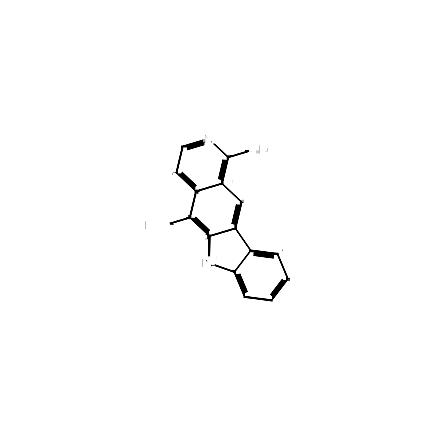 CCCCc1nccc2c(C)c3[nH]c4ccccc4c3cc12